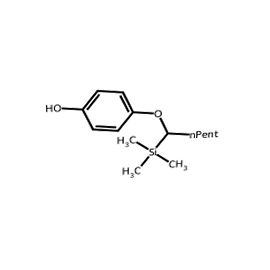 CCCCCC(Oc1ccc(O)cc1)[Si](C)(C)C